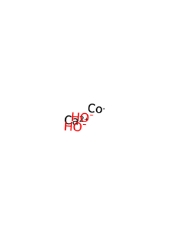 [Ca+2].[Co].[OH-].[OH-]